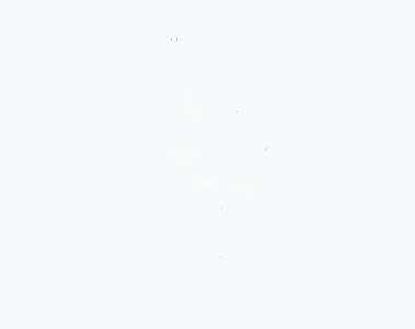 CCN1CCN(S(=O)(=O)c2ccnc(OCCOC)c2OC(=O)O)CC1.Cl